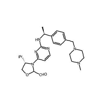 CC(C)[C@H]1COC(C=O)N1c1ccnc(N[C@@H](C)c2ccc(CN3CCN(C)CC3)cc2)n1